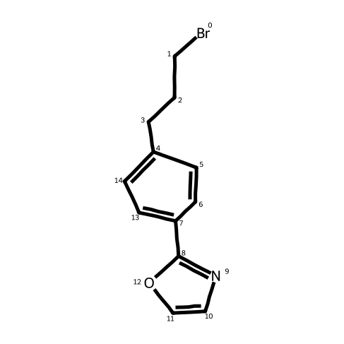 BrCCCc1ccc(-c2ncco2)cc1